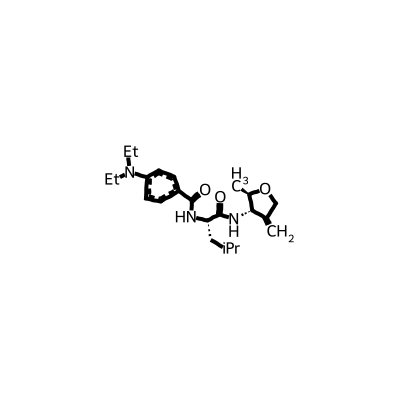 C=C1CO[C@H](C)[C@H]1NC(=O)[C@H](CC(C)C)NC(=O)c1ccc(N(CC)CC)cc1